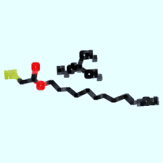 CCCCCCCCC=CCCCCCCCCOC(=O)CS.[CH3][Sn]([CH3])[CH3]